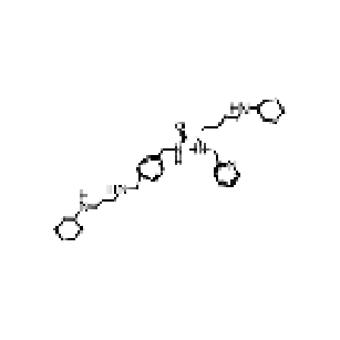 O=C(NCc1ccc(CNCCCNC2CCCCC2)cc1)[C@H](CCCCNC1CCCCC1)NCc1ccccn1